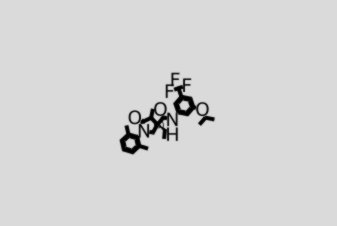 CC[C@@]1(C(=O)Nc2cc(OC(C)C)cc(C(F)(F)F)c2)CN(c2c(C)cccc2C)C(=O)C1C